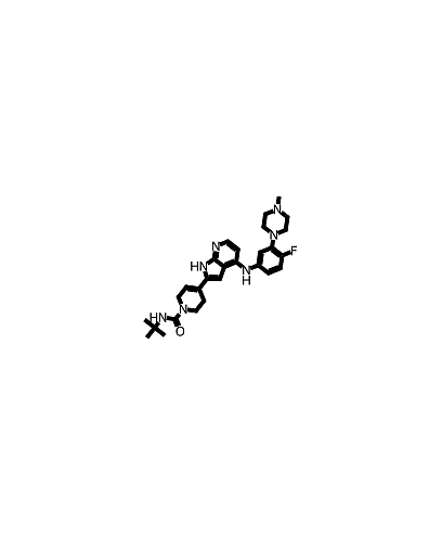 CN1CCN(c2cc(Nc3ccnc4[nH]c(C5=CCN(C(=O)NC(C)(C)C)CC5)cc34)ccc2F)CC1